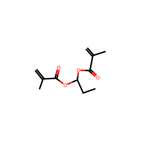 C=C(C)C(=O)OC(CC)OC(=O)C(=C)C